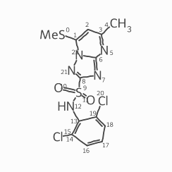 CSc1cc(C)nc2nc(S(=O)(=O)Nc3c(Cl)cccc3Cl)nn12